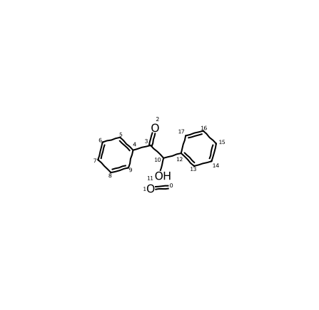 C=O.O=C(c1ccccc1)C(O)c1ccccc1